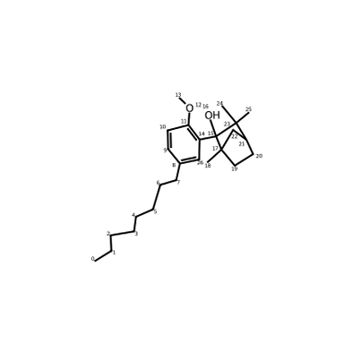 CCCCCCCCc1ccc(OC)c(C2(O)C3(C)CCC(C3)C2(C)C)c1